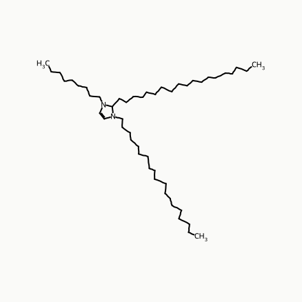 CCCCCCCCCCCCCCCCCCCC1N(CCCCCCCCC)C=CN1CCCCCCCCCCCCCCCCCCC